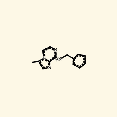 Cc1cnc2c(NCc3ccccc3)nccn12